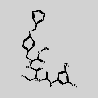 CC(C)C[C@H](NC(=O)Nc1cc(C(F)(F)F)cc(C(F)(F)F)c1)C(=O)N[C@@H](Cc1ccc(OCc2ccccc2)cc1)C(=O)OC(C)(C)C